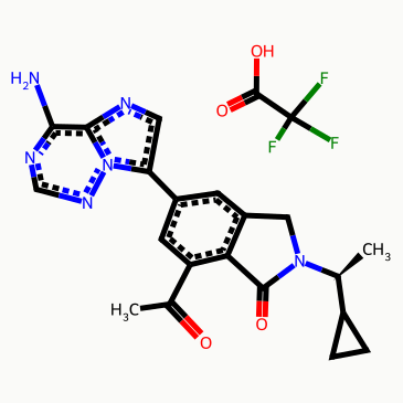 CC(=O)c1cc(-c2cnc3c(N)ncnn23)cc2c1C(=O)N([C@@H](C)C1CC1)C2.O=C(O)C(F)(F)F